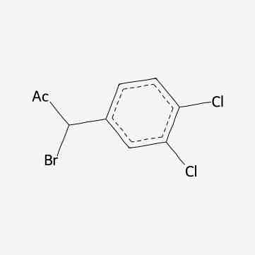 CC(=O)C(Br)c1ccc(Cl)c(Cl)c1